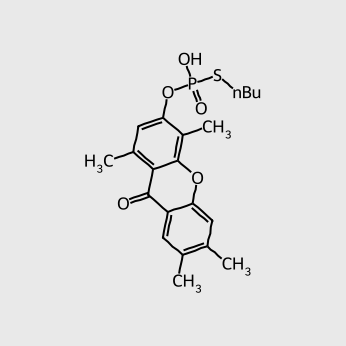 CCCCSP(=O)(O)Oc1cc(C)c2c(=O)c3cc(C)c(C)cc3oc2c1C